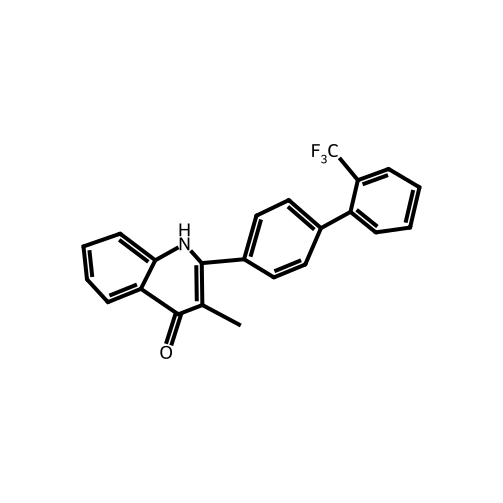 Cc1c(-c2ccc(-c3ccccc3C(F)(F)F)cc2)[nH]c2ccccc2c1=O